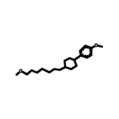 COCCCCCCCC1CCC(c2ccc(OC)cc2)CC1